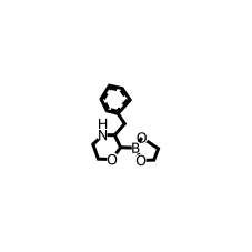 c1ccc(CC2NCCOC2B2OCCO2)cc1